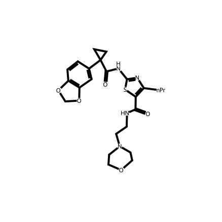 CCCc1nc(NC(=O)C2(c3ccc4c(c3)OCO4)CC2)sc1C(=O)NCCN1CCOCC1